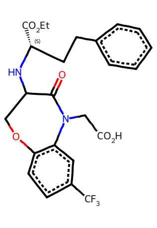 CCOC(=O)[C@H](CCc1ccccc1)NC1COc2ccc(C(F)(F)F)cc2N(CC(=O)O)C1=O